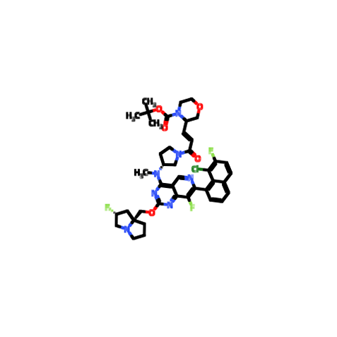 CN(c1nc(OC[C@@]23CCCN2C[C@H](F)C3)nc2c(F)c(-c3cccc4ccc(F)c(Cl)c34)ncc12)[C@@H]1CCN(C(=O)/C=C/C2COCCN2C(=O)OC(C)(C)C)C1